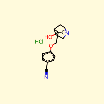 Cl.N#Cc1ccc(OCC2(O)CN3CCC2CC3)cc1